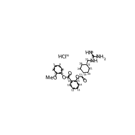 COc1ccccc1OC(=O)c1ccccc1OC(=O)[C@H]1CC[C@H](CNC(=N)N)CC1.Cl